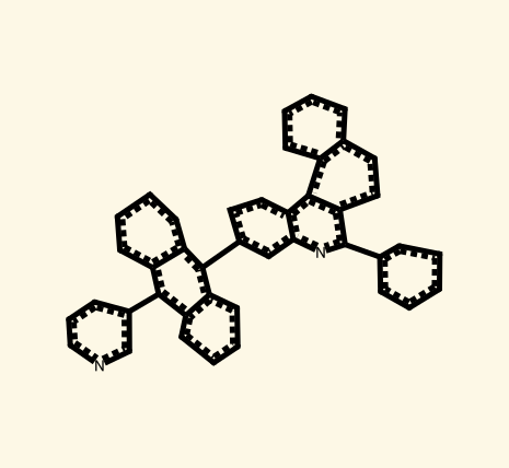 c1ccc(-c2nc3cc(-c4c5ccccc5c(-c5cccnc5)c5ccccc45)ccc3c3c2ccc2ccccc23)cc1